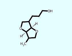 CC1CO[C@@H]2C(CCCO)CO[C@H]12